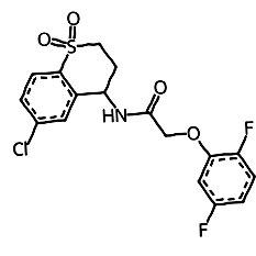 O=C(COc1cc(F)ccc1F)NC1CCS(=O)(=O)c2ccc(Cl)cc21